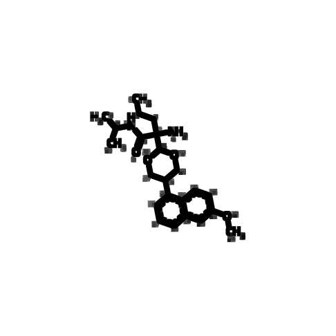 CCCC(N)(C(=O)NC(C)C)C1OCC(c2cccc3cc(OC)ccc23)CO1